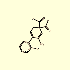 O=C(Cl)C1(C(=O)Cl)C=C(C(F)(F)F)C(c2ccccc2C(F)(F)F)=CC1